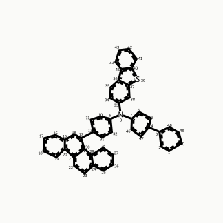 c1ccc(-c2ccc(N(c3ccc(-c4cc5ccccc5c5ccc6ccccc6c45)cc3)c3ccc4c(c3)sc3ccccc34)cc2)cc1